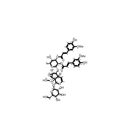 COc1cc(/C=C/C(=O)O[C@@H]2[C@@H](O)[C@H](C)O[C@@H](O[C@H]3[C@@H]4C=CO[C@@H](O[C@@H]5O[C@H](CO)[C@@H](O)[C@H](O)[C@H]5O)[C@@H]4[C@@]4(CO)O[C@@H]34)[C@@H]2OC(=O)/C=C/c2ccc(O)c(OC)c2)ccc1O